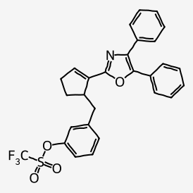 O=S(=O)(Oc1cccc(CC2CCC=C2c2nc(-c3ccccc3)c(-c3ccccc3)o2)c1)C(F)(F)F